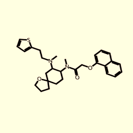 CN(CCc1cccs1)C1CC2(CCCO2)CCC1N(C)C(=O)COc1cccc2ccccc12